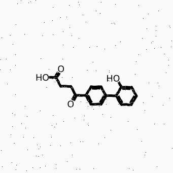 O=C(O)CCC(=O)c1ccc(-c2ccccc2O)cc1